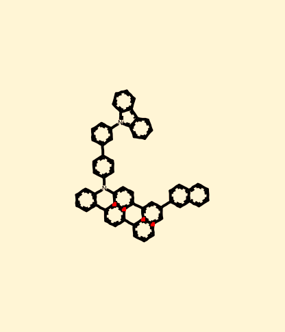 c1ccc(-c2ccc(-c3ccccc3N(c3ccc(-c4cccc(-c5ccc6ccccc6c5)c4)cc3)c3ccc(-c4cccc(-n5c6ccccc6c6ccccc65)c4)cc3)cc2)cc1